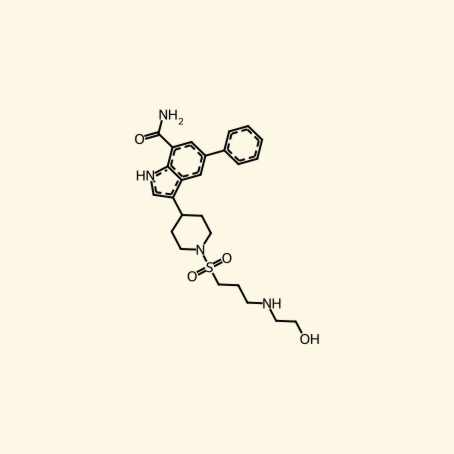 NC(=O)c1cc(-c2ccccc2)cc2c(C3CCN(S(=O)(=O)CCCNCCO)CC3)c[nH]c12